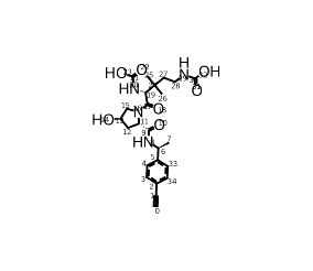 C#Cc1ccc([C@H](C)NC(=O)[C@@H]2C[C@@H](O)CN2C(=O)[C@H](NC(=O)O)C(C)(C)CCNC(=O)O)cc1